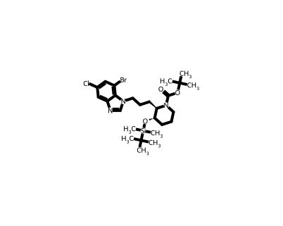 CC(C)(C)OC(=O)N1CCC[C@H](O[Si](C)(C)C(C)(C)C)[C@H]1CCCn1cnc2cc(Cl)cc(Br)c21